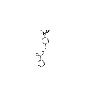 O=C(COCc1ccc([N+](=O)[O-])cc1)c1ccccc1